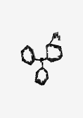 Nc1cccc(P(c2ccccc2)c2ccccc2)c1